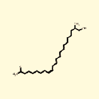 CC(CO)CCCCCCCCCCC/C=C\CCCCCCC(N)=O